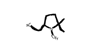 CC1(C)CCC(CC#N)N1O